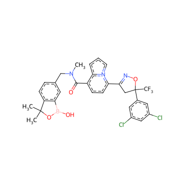 CN(Cc1ccc2c(c1)B(O)OC2(C)C)C(=O)c1ccc(C2=NOC(c3cc(Cl)cc(Cl)c3)(C(F)(F)F)C2)n2cccc12